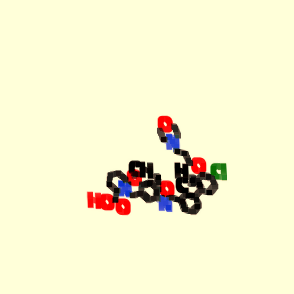 COc1cc2oc(-c3cccc(-c4ccc(Cl)c(OCCCN5CCOCC5)c4)c3C)nc2cc1CN1CCCCC1C(=O)O